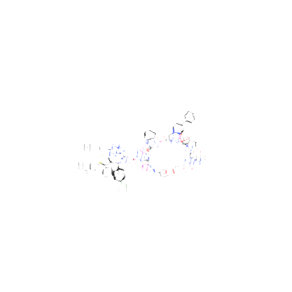 Cc1sc2c(c1C)C(c1ccc(Cl)cc1)=N[C@@H](CC(=O)NC[C@H]1NC(=O)[C@@H](Cc3ccccc3)NC(=O)[C@@H](Cc3ccc(-c4ccccc4)cc3)NC(=O)[C@@H]3CCCN3C(=O)C(C(C)(C)C)NC(=O)COCCNC1=O)c1nnc(C)n1-2